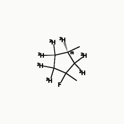 [2H]C1([2H])C(C)(F)C([2H])([2H])[C@]([2H])(C)C1([2H])[2H]